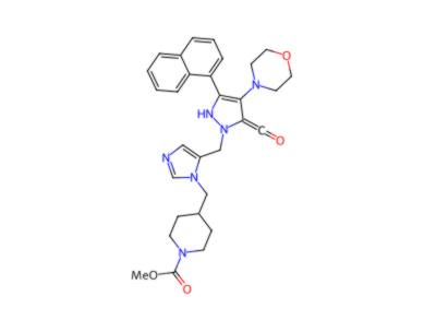 COC(=O)N1CCC(Cn2cncc2CN2NC(c3cccc4ccccc34)=C(N3CCOCC3)C2=C=O)CC1